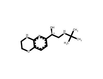 CC(C)(C)NC[C@H](O)c1ccc2c(n1)NCCO2